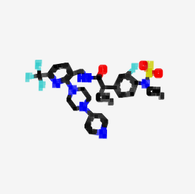 CC(C(=O)NCc1ccc(C(F)(F)F)nc1N1CCN(c2ccncc2)CC1)c1ccc(N(C)[SH](=O)=O)c(F)c1